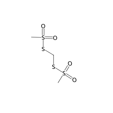 CS(=O)(=O)SCSS(C)(=O)=O